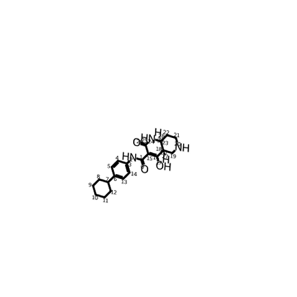 O=C(Nc1ccc(C2CCCCC2)cc1)C1=C(O)[C@H]2CNCC[C@@H]2NC1=O